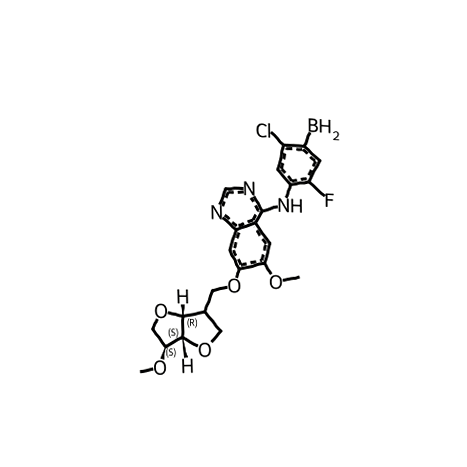 Bc1cc(F)c(Nc2ncnc3cc(OCC4CO[C@@H]5[C@@H](OC)CO[C@H]45)c(OC)cc23)cc1Cl